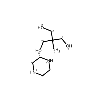 C1CNCCN1.NC(CO)(CO)CO